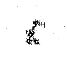 Fc1cc(-c2cccnc2SC2CCC2)cc(F)c1OCCCc1nnn[nH]1